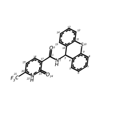 O=C(NC1c2ccccc2Sc2ccccc21)c1ccc(C(F)(F)F)[nH]c1=O